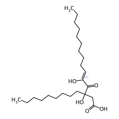 CCCCCCCCC/C=C(\O)C(=O)C(O)(CCCCCCCCC)CC(=O)O